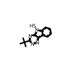 CC(C)(C)c1nnc2c3ccccc3n(S)c2n1